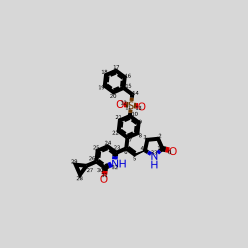 O=C1CC[C@H](/C=C(\c2ccc(S(=O)(=O)Cc3ccccc3)cc2)c2ccc(C3CC3)c(=O)[nH]2)N1